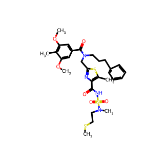 COc1cc(C(=O)N(CCCc2ccccc2)Cc2nc(C(=O)NS(=O)(=O)N(C)CCSC)c(C)s2)cc(OC)c1C